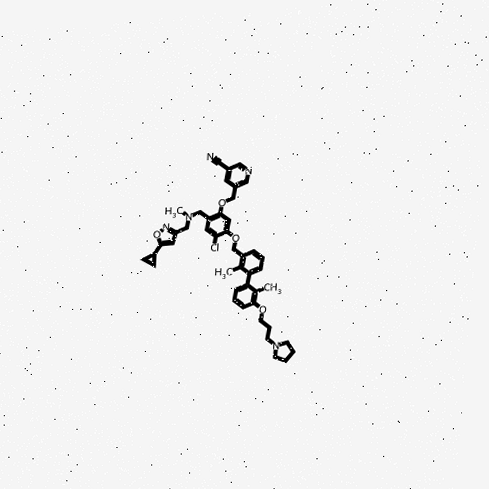 Cc1c(COc2cc(OCc3cncc(C#N)c3)c(CN(C)Cc3cc(C4CC4)on3)cc2Cl)cccc1-c1cccc(OCCCN2CCCC2)c1C